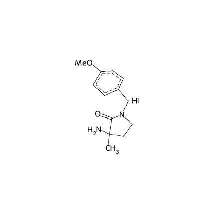 COc1ccc(CN2CCC(C)(N)C2=O)cc1.I